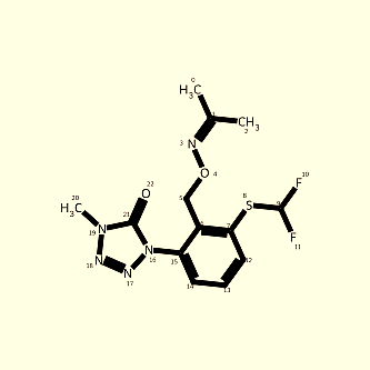 CC(C)=NOCc1c(SC(F)F)cccc1-n1nnn(C)c1=O